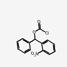 O=C(Cl)OC(c1ccccc1)c1ccccc1[N+](=O)[O-]